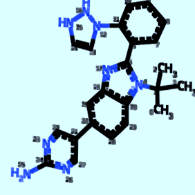 CC(C)(C)n1c(-c2ccccc2N2C=CNN2)nc2cc(-c3cnc(N)nc3)ccc21